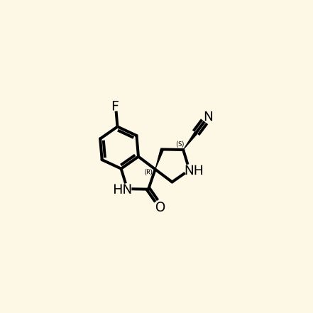 N#C[C@@H]1C[C@@]2(CN1)C(=O)Nc1ccc(F)cc12